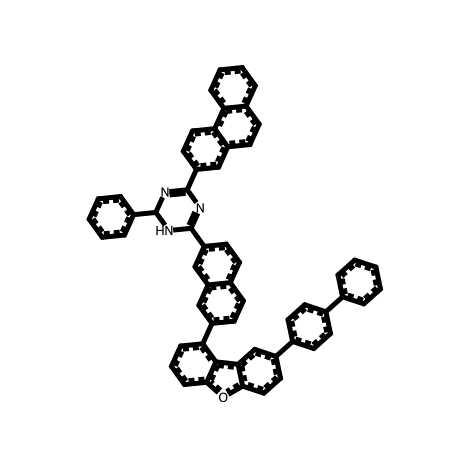 c1ccc(-c2ccc(-c3ccc4oc5cccc(-c6ccc7ccc(C8=NC(c9ccc%10c(ccc%11ccccc%11%10)c9)=NC(c9ccccc9)N8)cc7c6)c5c4c3)cc2)cc1